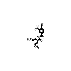 C#Cc1ccc(C(=O)NC(=O)N(CCC)CCC)cc1[N+](=O)[O-]